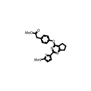 COC(=O)Cc1ccc(Oc2nc(-c3ccc(SC)s3)nc3c2CCC3)cc1